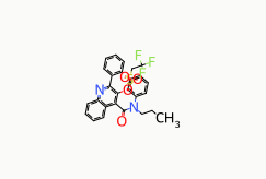 CCCN(C(=O)c1c(OS(=O)(=O)CC(F)(F)F)c(-c2ccccc2)nc2ccccc12)c1ccccc1